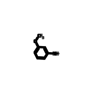 [NH]c1cccc(OC(F)(F)F)c1